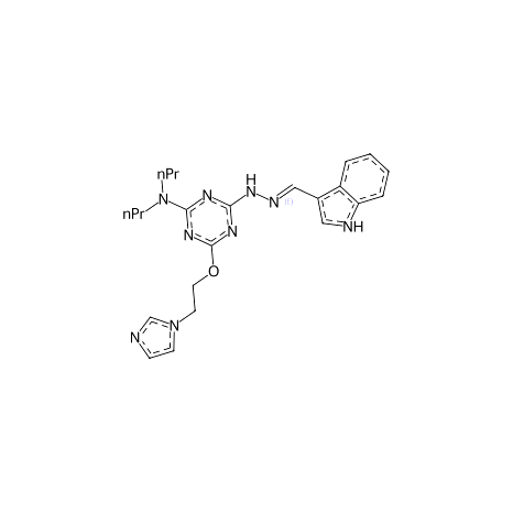 CCCN(CCC)c1nc(N/N=C/c2c[nH]c3ccccc23)nc(OCCn2ccnc2)n1